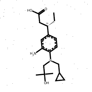 CC[C@@H](CC(=O)O)c1ccc(N(CC2CC2)CC(C)(C)O)c(N)c1